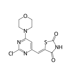 O=C1NC(=O)/C(=C/c2cc(N3CCOCC3)nc(Cl)n2)S1